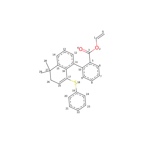 C=COC(=O)c1ccccc1-c1cccc2c1C(Sc1ccccc1)=CCC2(C)C